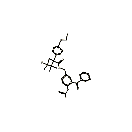 CCOc1ccc(C2(C(=O)OCc3ccc(OC(C)=O)c(C(=O)c4ccccc4)c3)CC(F)(F)C2(F)F)cc1